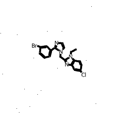 CCn1c(Cn2ccnc2-c2cccc(Br)c2)nc2cc(Cl)ccc21